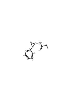 CCC(=O)N[C@H]1C[C@@H]1c1cccnc1